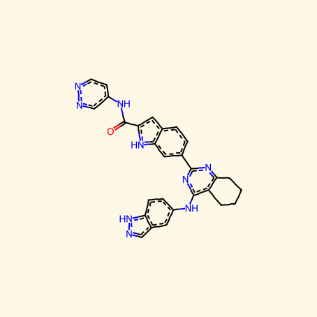 O=C(Nc1ccnnc1)c1cc2ccc(-c3nc4c(c(Nc5ccc6[nH]ncc6c5)n3)CCCC4)cc2[nH]1